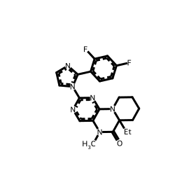 CCC12CCCCN1c1nc(-n3ccnc3-c3ccc(F)cc3F)ncc1N(C)C2=O